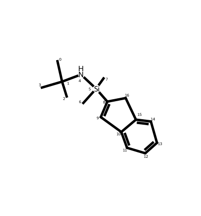 CC(C)(C)N[Si](C)(C)C1=Cc2ccccc2C1